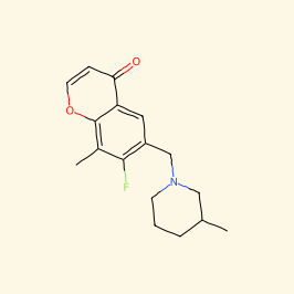 Cc1c(F)c(CN2CCCC(C)C2)cc2c(=O)ccoc12